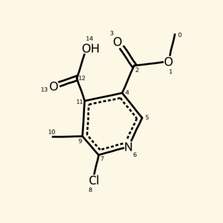 COC(=O)c1cnc(Cl)c(C)c1C(=O)O